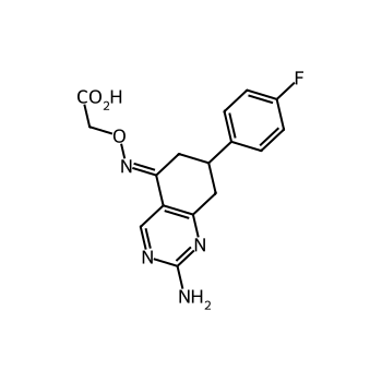 Nc1ncc2c(n1)CC(c1ccc(F)cc1)C/C2=N\OCC(=O)O